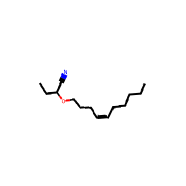 CCCCC/C=C\CCCOC(C#N)CC